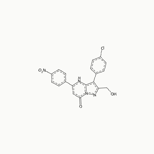 O=c1cc(-c2ccc([N+](=O)[O-])cc2)[nH]c2c(-c3ccc(Cl)cc3)c(CO)nn12